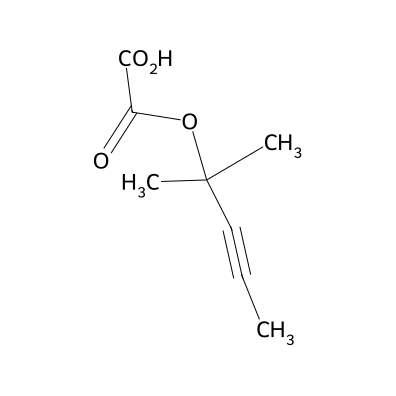 CC#CC(C)(C)OC(=O)C(=O)O